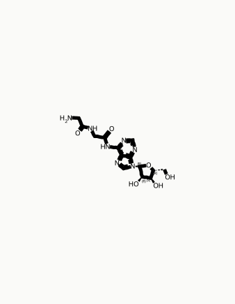 NCC(=O)NCC(=O)Nc1ncnc2c1ncn2[C@@H]1O[C@H](CO)[C@@H](O)[C@H]1O